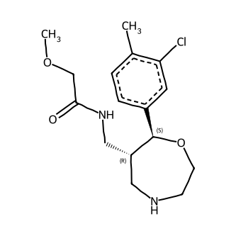 COCC(=O)NC[C@H]1CNCCO[C@@H]1c1ccc(C)c(Cl)c1